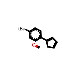 C=O.CC(C)(C)c1ccc(C2=CC=CC2)cc1